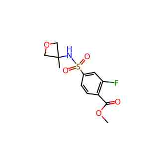 COC(=O)c1ccc(S(=O)(=O)NC2(C)COC2)cc1F